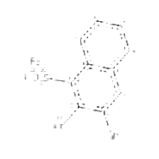 CC(C)c1cc2ccccc2c(S(=O)(=O)O)c1C(C)C.[Fe]